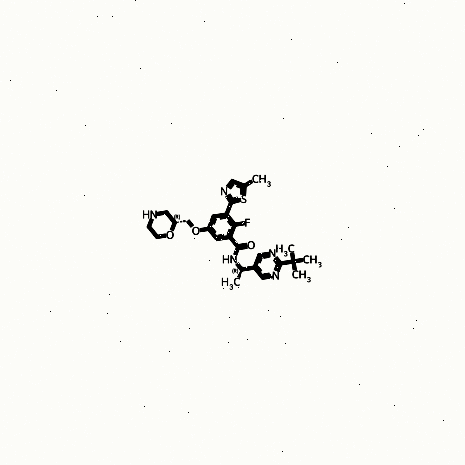 Cc1cnc(-c2cc(OC[C@H]3CNCCO3)cc(C(=O)N[C@H](C)c3cnc(C(C)(C)C)nc3)c2F)s1